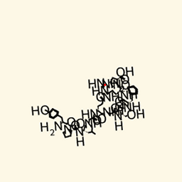 CC(C)C[C@H](NC(=O)[C@@H]1CCCN1C(=O)[C@@H](N)Cc1ccc(O)cc1)C(=O)NCC(=O)N[C@@H](CCC(N)=O)C(=O)NCC(=O)N[C@@H](CO)C(=O)N[C@@H](Cc1ccccc1)C(=O)N[C@@H](CCCNC(=N)N)C(=O)N1CCC[C@H]1C(=O)O